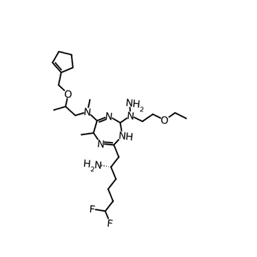 CCOCCN(N)C1N=C(N(C)CC(C)OCC2=CCCC2)C(C)N=C(C[C@@H](N)CCCC(F)F)N1